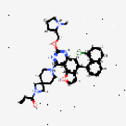 C=CC(=O)N1CC2(CCN(c3nc(OCC4CCCN4C)nc4cc(-c5cccc6cccc(Cl)c56)c5ccoc5c34)CC2)C1